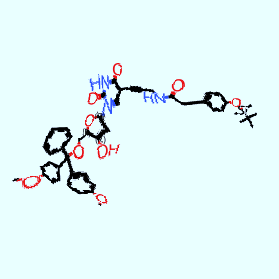 COc1ccc(C(OC[C@H]2O[C@@H](n3cc(C#CCNC(=O)Cc4ccc(O[Si](C)(C)C(C)(C)C)cc4)c(=O)[nH]c3=O)C[C@H]2O)(c2ccccc2)c2ccc(OC)cc2)cc1